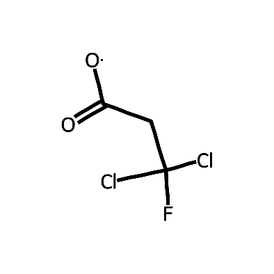 [O]C(=O)CC(F)(Cl)Cl